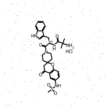 CC(C)(N)C(=O)N[C@H](Cc1c[nH]c2ccccc12)C(=O)N1CCC2(CC1)CC(=O)c1cc(NS(C)(=O)=O)ccc1O2.Cl